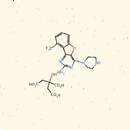 Nc1nc(N2CCNCC2)c2oc3cccc(C(F)(F)F)c3c2n1.O=C(O)CC(O)(CC(=O)O)C(=O)O